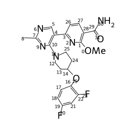 COc1nc(-c2cnc(C)nc2N2CCC(Oc3ccc(F)cc3F)CC2)ccc1C(N)=O